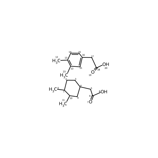 CC1CCC(CC(=O)O)CC1C.Cc1ccc(CC(=O)O)cc1C